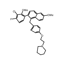 COc1ccc2c(Cc3ccc(OCCN4CCCCC4)cc3)c(-c3ccc(F)c(Cl)c3OC)ccc2c1